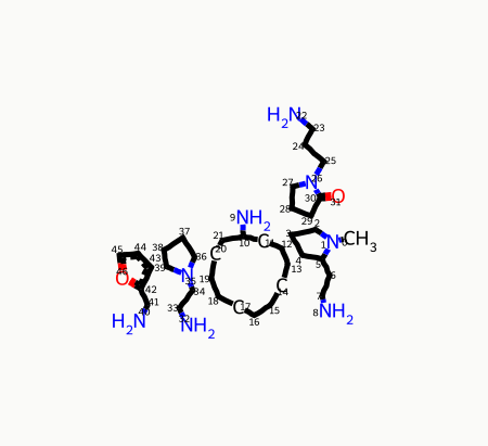 CN1CCCC1CCN.NC1CCCCCCCCCCC1.NCCCN1CCCC1=O.NCCN1CCCC1.NCc1ccco1